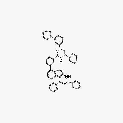 C1=C(c2ccccc2)NC(c2cccc(-c3cccc4c5c(ccc34)NC(c3ccccc3)C=C5c3ccccc3)c2)N=C1c1cccc(-c2ccccc2)c1